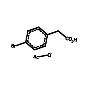 CC(=O)Cl.O=C(O)Cc1ccc(Br)cc1